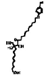 C=Cc1ccc(OCCCCCCCCCCC(=O)C(O)C(O)(CO)CCCCCCCCCCCCCCCCCC)cc1